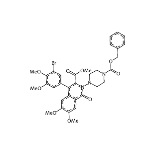 COC(=O)c1c(-c2cc(Br)c(OC)c(OC)c2)c2cc(OC)c(OC)cc2c(=O)n1N1CCN(C(=O)OCc2ccccc2)CC1